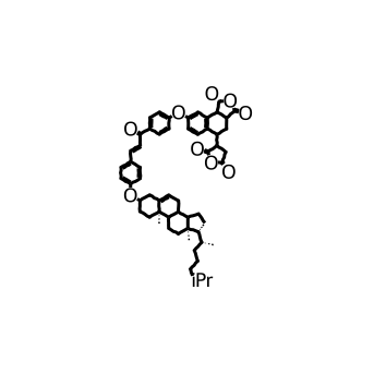 CC(C)CCC[C@@H](C)[C@H]1CCC2C3CC=C4CC(Oc5ccc(C=CC(=O)c6ccc(Oc7ccc8c(c7)C7C(=O)OC(=O)C7CC8C7CC(=O)OC7=O)cc6)cc5)CC[C@]4(C)C3CC[C@@]21C